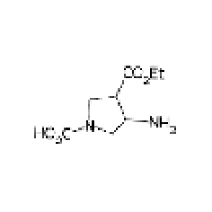 CCOC(=O)C1CN(C(=O)O)CC1N